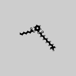 CCCCCCC(=O)Oc1ccccc1OC(=O)CCCCCCCCC(C)(C)C